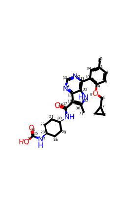 Cc1ccc(OCC2CC2)c(-c2ncnc3c(C(=O)N[C@H]4CC[C@H](NC(=O)O)CC4)c(C)[nH]c23)c1